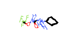 O=C(NNc1ccccc1)NOC(F)(F)F